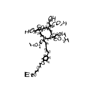 CCOCCOCCOc1ccc(CCC[C@@H](C(=O)O)N2CCN([C@H](CO)C(=O)O)CCN([C@H](CO)C(=O)O)CCN([C@@H](CO)C(=O)O)CC2)cc1